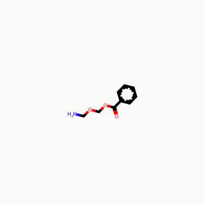 NCOCOC(=O)c1ccccc1